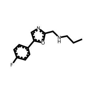 CCCNCc1ncc(-c2ccc(F)cc2)o1